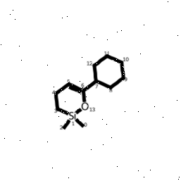 C[Si]1(C)CCC=C(C2CCCCC2)O1